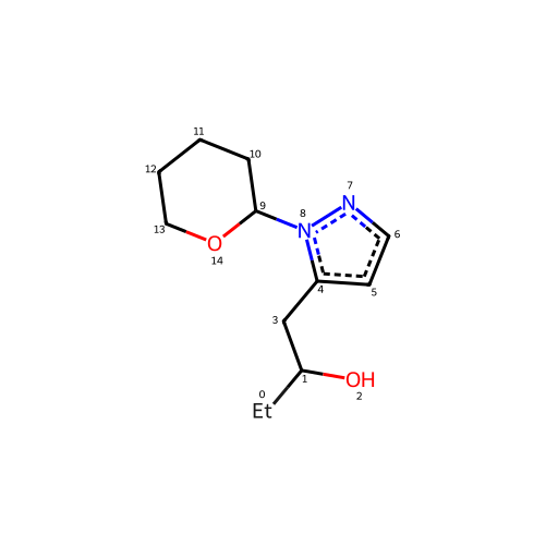 CCC(O)Cc1ccnn1C1CCCCO1